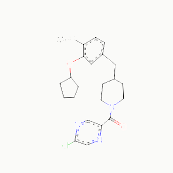 COc1ccc(CC2CCN(C(=O)c3cnc(Cl)cn3)CC2)cc1OC1CCCC1